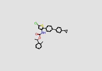 Cc1ccccc1C(C)OC(=O)Nc1cc(Cl)sc1-c1ccc(-c2ccc(C3CC3)cc2)cc1